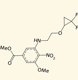 COC(=O)c1cc(NCCOC2CC2(F)F)c([N+](=O)[O-])c(OC)c1